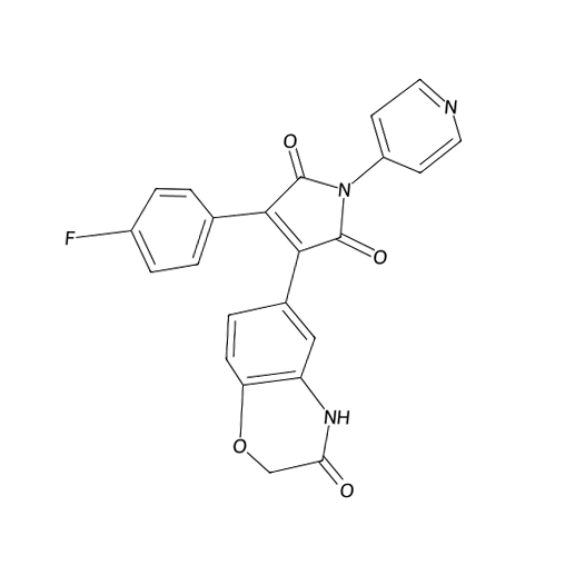 O=C1COc2ccc(C3=C(c4ccc(F)cc4)C(=O)N(c4ccncc4)C3=O)cc2N1